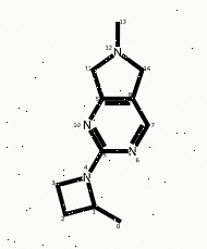 CC1CCN1c1ncc2c(n1)CN(C)C2